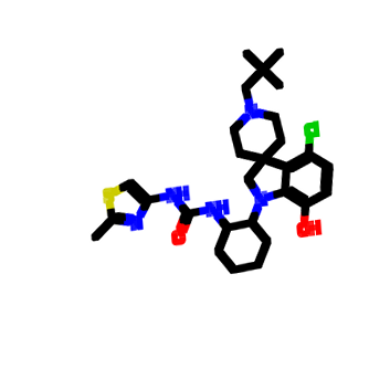 Cc1nc(NC(=O)NC2CCCCC2N2CC3(CCN(CC(C)(C)C)CC3)c3c(Cl)ccc(O)c32)cs1